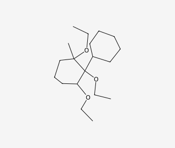 CCOC1CCCC(C)(OCC)C1(OCC)C1CCCCC1